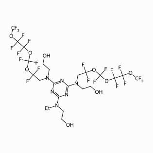 CCN(CCO)c1nc(N(CCO)CC(F)(F)OC(F)(F)OC(F)(F)C(F)(F)OC(F)(F)F)nc(N(CCO)CC(F)(F)OC(F)(F)OC(F)(F)C(F)(F)OC(F)(F)F)n1